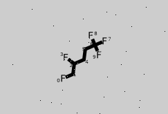 FCC(F)CCC(F)(F)F